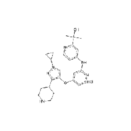 CC(C)(O)c1cc(Nc2cc(Oc3cn(C4CC4)nc3C3CCNCC3)ccn2)ccn1.Cl